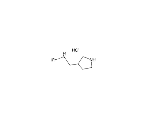 CC(C)NCC1CCNC1.Cl